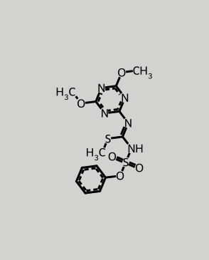 COc1nc(N=C(NS(=O)(=O)Oc2ccccc2)SC)nc(OC)n1